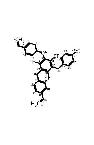 C=CC1=CCC(Oc2c(F)c(Cc3ccc(C=C)cc3)c(F)c(Cc3ccc(CC)cc3)c2C(F)(F)F)C=C1